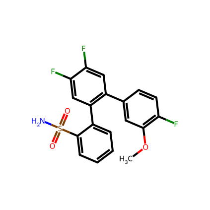 COc1cc(-c2cc(F)c(F)cc2-c2ccccc2S(N)(=O)=O)ccc1F